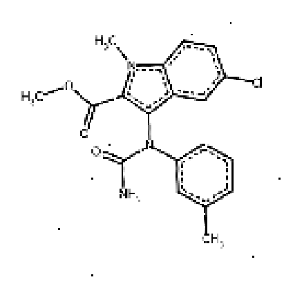 COC(=O)c1c(N(C(N)=O)c2cccc(C)c2)c2cc(Cl)ccc2n1C